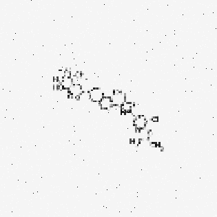 Cc1c(-c2noc(-c3cnc(OC(C)C)c(Cl)c3)n2)ccc2c1CCN(C(=O)CN(C(=O)O)C(C)(C)C)C2